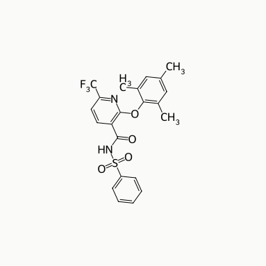 Cc1cc(C)c(Oc2nc(C(F)(F)F)ccc2C(=O)NS(=O)(=O)c2ccccc2)c(C)c1